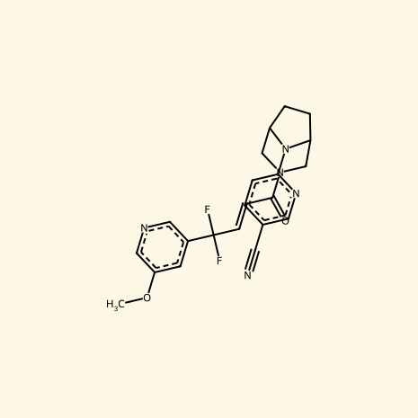 COc1cncc(C(F)(F)/C=C/C(=O)N2CC3CCC(C2)N3c2ccc(C#N)cn2)c1